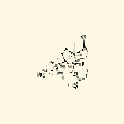 CCC(=O)O.C[C@]12CC[C@@H](O)C[C@@H]1CC[C@@H]1[C@@H]2CC[C@]2(C)C(=O)CC[C@@H]12